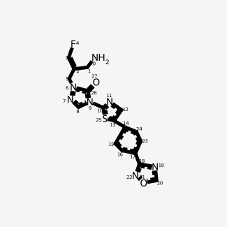 NC/C(=C\F)Cn1ncn(-c2ncc(-c3ccc(-c4ncon4)cc3)s2)c1=O